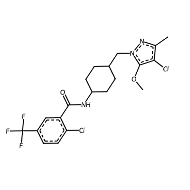 COc1c(Cl)c(C)nn1CC1CCC(NC(=O)c2cc(C(F)(F)F)ccc2Cl)CC1